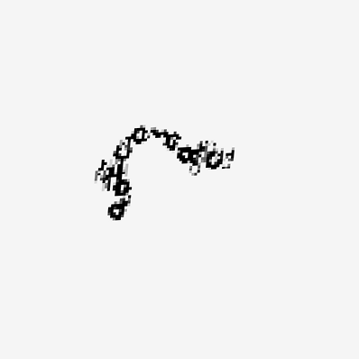 Nc1ncnc2c1c(-c1ccc(Oc3ccccc3)cc1)nn2C1CCN(CC2CCN(CCCC3CCN(c4ccc5c(c4)C(=O)N(C4CCC(=O)NC4=O)C5=O)CC3)CC2)CC1